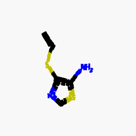 C=CSc1ncsc1N